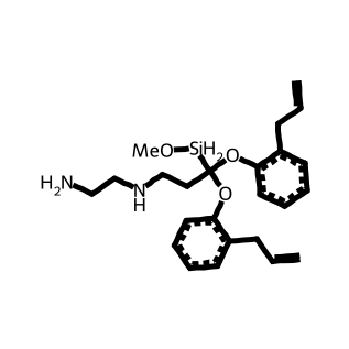 C=CCc1ccccc1OC(CCNCCN)(Oc1ccccc1CC=C)[SiH2]OC